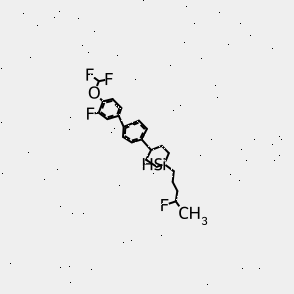 CC(F)CCC[SiH]1CCC(c2ccc(-c3ccc(OC(F)F)c(F)c3)cc2)CC1